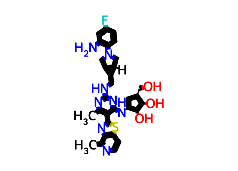 Cc1nc(NCC2C3CN(c4ccc(F)cc4N)C[C@@H]23)nc(N[C@@H]2C[C@H](CO)[C@@H](O)[C@H]2O)c1-c1nc2c(C)nccc2s1